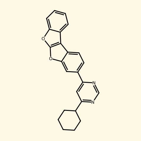 c1ccc2c(c1)oc1oc3cc(-c4cc(C5CCCCC5)ncn4)ccc3c12